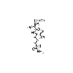 CSCNC(C(=O)NC(CCCNC(N)=O)C(=O)C(C)C)C(C)C